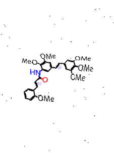 COc1ccccc1/C=C/C(=O)Nc1cc(/C=C/c2cc(OC)c(OC)c(OC)c2)cc(OC)c1OC